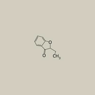 CCC1Oc2ccccc2C1=O